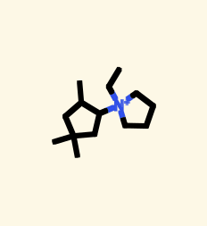 CC[N+]1(C2CC(C)(C)CC2C)CCCC1